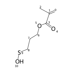 C=C(C)C(=O)OCCCSO